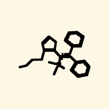 CCCCC1=C(N([SiH](c2ccccc2)c2ccccc2)[Si](C)(C)C)CC=C1